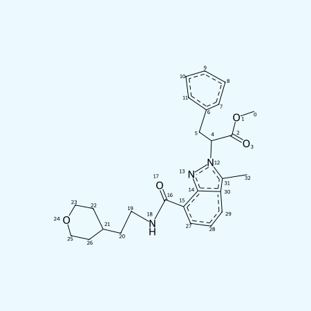 COC(=O)C(Cc1ccccc1)n1nc2c(C(=O)NCCC3CCOCC3)cccc2c1C